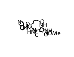 COC(=O)Nc1ccc2c(c1)NC(=O)CC/C=C/C[C@H](NC(=O)C1C=CC=C3C=NC=CC31)c1nc-2c(Cl)[nH]1